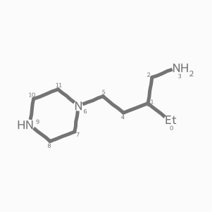 CC[C](CN)CCN1CCNCC1